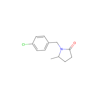 CC1CCC(=O)N1Cc1ccc(Cl)cc1